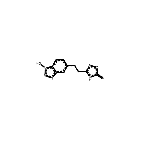 On1nnc2cc(CCc3noc(=S)[nH]3)ccc21